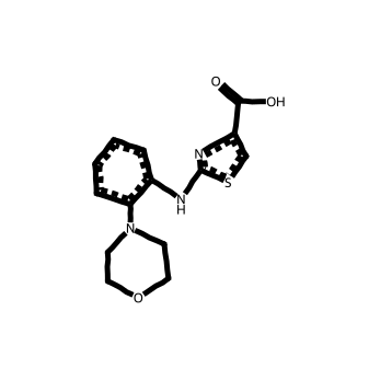 O=C(O)c1csc(Nc2ccccc2N2CCOCC2)n1